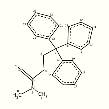 CN(C)C(=S)CCC(c1ccccc1)(c1ccccc1)c1ccccc1